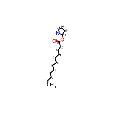 CCCCCCCCCCCC(=O)OC1CCC[N]1